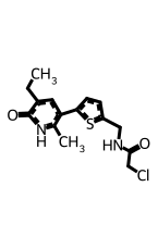 CCc1cc(-c2ccc(CNC(=O)CCl)s2)c(C)[nH]c1=O